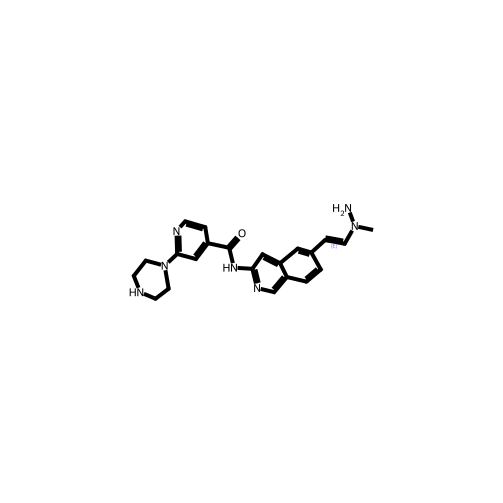 CN(N)/C=C/c1ccc2cnc(NC(=O)c3ccnc(N4CCNCC4)c3)cc2c1